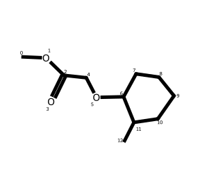 COC(=O)COC1CCCCC1C